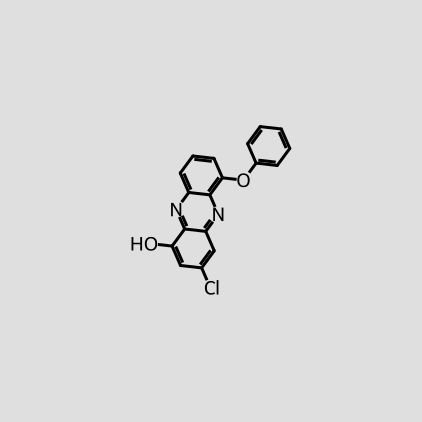 Oc1cc(Cl)cc2nc3c(Oc4ccccc4)cccc3nc12